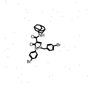 O=C(NC12CC3CC(CC(C3)C1)C2)c1cn(Cc2ccc(Br)cc2)n(-c2ccc(Br)cc2)c1=O